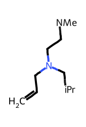 C=CCN(CCNC)CC(C)C